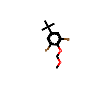 COCOc1c(Br)cc(C(C)(C)C)cc1Br